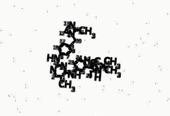 Cc1cnc(Nc2ccc(Cn3ccnc3C)cc2)nc1Nc1cccc([SH](=O)(I)NC(C)(C)C)c1